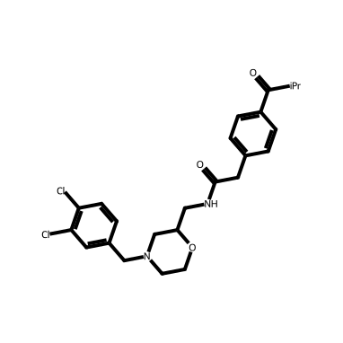 CC(C)C(=O)c1ccc(CC(=O)NCC2CN(Cc3ccc(Cl)c(Cl)c3)CCO2)cc1